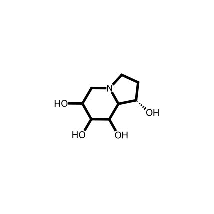 OC1CN2CC[C@H](O)C2C(O)C1O